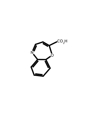 O=C(O)C1=CC=Nc2ccccc2O1